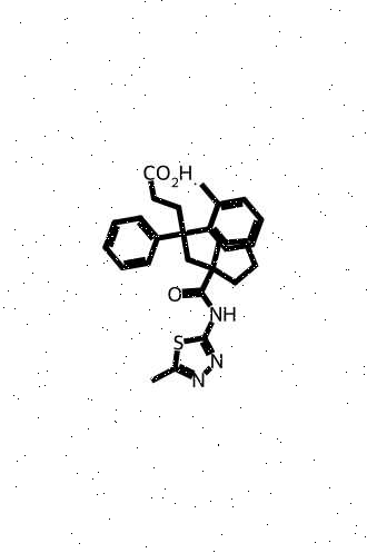 [CH2]c1ccccc1C(CCC(=O)O)(CC1(C(=O)Nc2nnc(C)s2)CCCC1)c1ccccc1